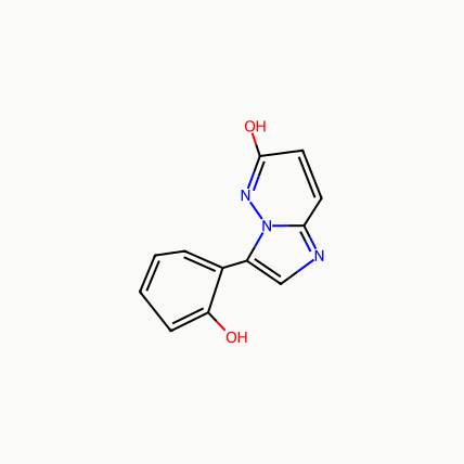 Oc1ccc2ncc(-c3ccccc3O)n2n1